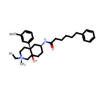 COc1cccc([C@]23CC[N@@+](C)(CC(C)C)CC2(O)CC[C@H](NC(=O)CCCCCc2ccccc2)C3)c1